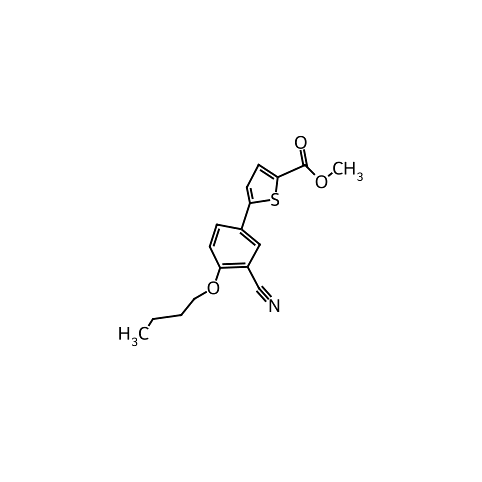 CCCCOc1ccc(-c2ccc(C(=O)OC)s2)cc1C#N